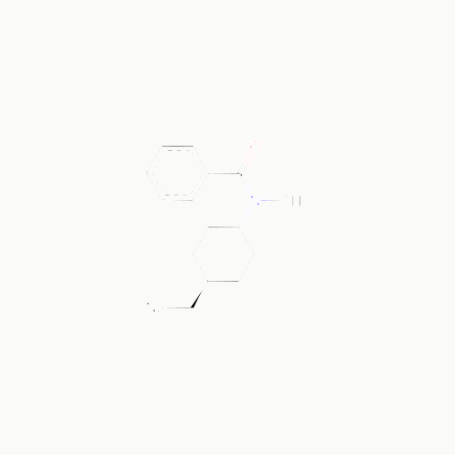 CN(C(=O)c1ccccc1)[C@H]1CC[C@H]([CH2][Na])CC1